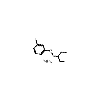 CCC(CC)COc1cccc(I)c1.N